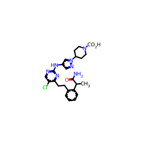 CC(C(N)=O)c1ccccc1CCc1nc(Nc2cnn(C3CCN(C(=O)O)CC3)c2)ncc1Cl